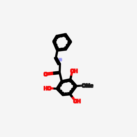 COc1c(O)cc(O)c(C(=O)/C=C/c2ccccc2)c1O